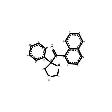 O=C(c1cccc2ccccc12)C1(c2ccccc2)COCO1